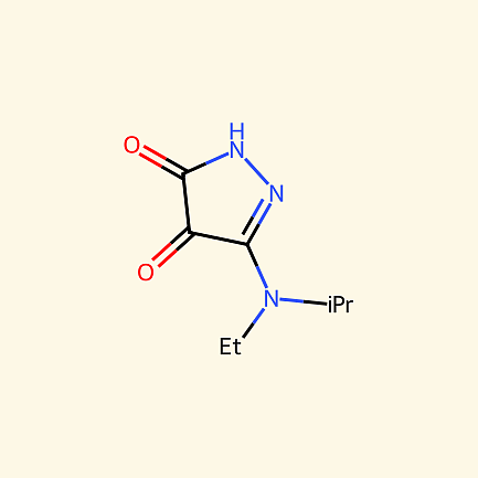 CCN(C1=NNC(=O)C1=O)C(C)C